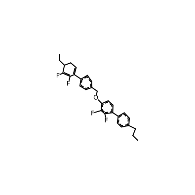 CCCc1ccc(-c2ccc(OCc3ccc(C4=CCC(CC)C(F)=C4F)cc3)c(F)c2F)cc1